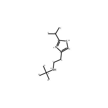 CC(C)c1nc(CCNC(C)(C)C)cs1